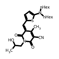 CCCCCCN(CCCCCC)c1ccc(/C=C2/C(=O)N(CC(C)O)C(=O)C(C#N)=C2C)s1